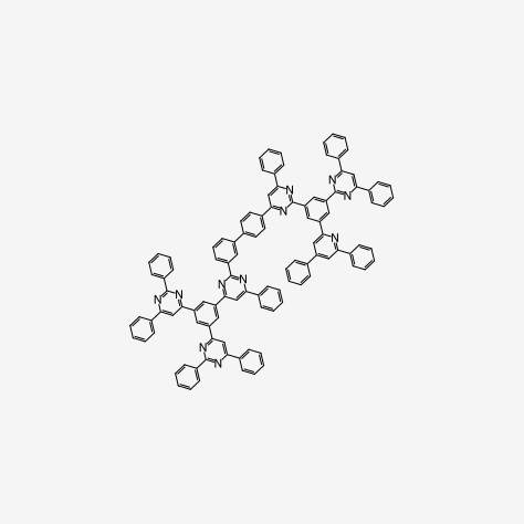 c1ccc(-c2cc(-c3ccccc3)nc(-c3cc(-c4nc(-c5ccccc5)cc(-c5ccccc5)n4)cc(-c4nc(-c5ccccc5)cc(-c5ccc(-c6cccc(-c7nc(-c8ccccc8)cc(-c8cc(-c9cc(-c%10ccccc%10)nc(-c%10ccccc%10)n9)cc(-c9cc(-c%10ccccc%10)nc(-c%10ccccc%10)n9)c8)n7)c6)cc5)n4)c3)c2)cc1